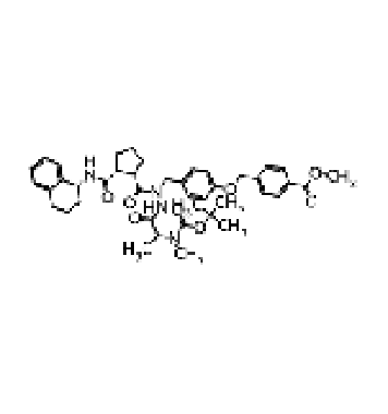 COC(=O)c1ccc(COc2ccc(CN(NC(=O)C(C)N(C)C(=O)OC(C)(C)C)C(=O)[C@@H]3CCC[C@H]3C(=O)N[C@@H]3CCCc4ccccc43)cc2)cc1